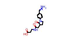 NN=Cc1ccc(N2CCC(CC(=O)NCCC(=O)O)C2=O)cc1